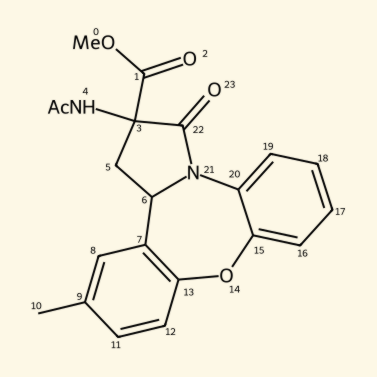 COC(=O)C1(NC(C)=O)CC2c3cc(C)ccc3Oc3ccccc3N2C1=O